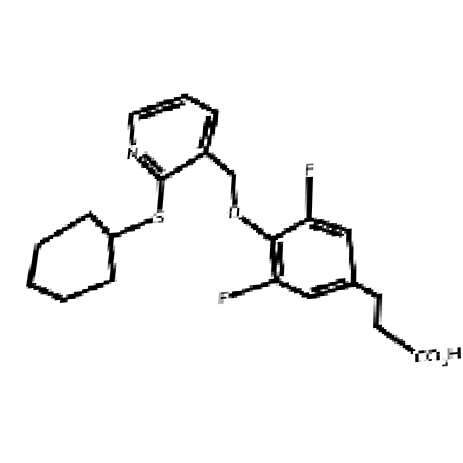 O=C(O)CCc1cc(F)c(OCc2cccnc2SC2CCCCC2)c(F)c1